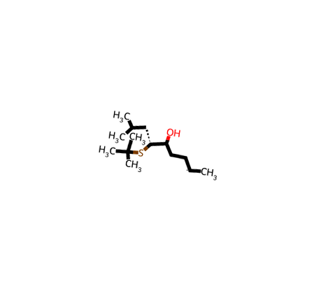 C[CH]CCC(O)[C@@H](CC(C)C)SC(C)(C)C